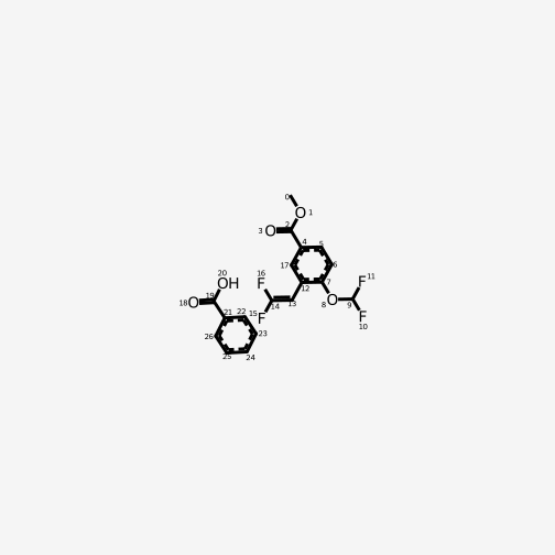 COC(=O)c1ccc(OC(F)F)c(C=C(F)F)c1.O=C(O)c1ccccc1